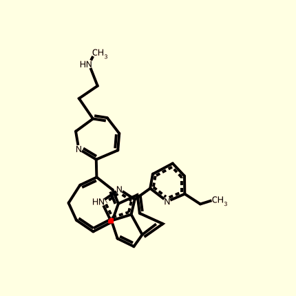 CCc1cccc(-c2n[nH]cc2C2=C\C=C\C3=C\C(C4=NCC(CCNC)=CC=C4)=C/CC=C=C3/C=C\2)n1